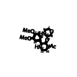 C1COCCN1.COc1ccc(C2NCCN(C(C)=O)C2=O)cc1OC